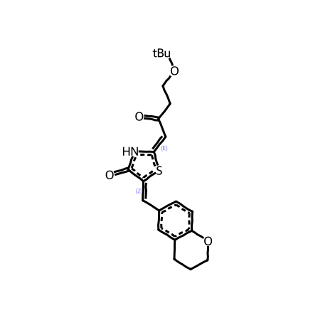 CC(C)(C)OCCC(=O)/C=c1\[nH]c(=O)/c(=C/c2ccc3c(c2)CCCO3)s1